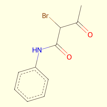 CC(=O)C(Br)C(=O)Nc1ccccc1